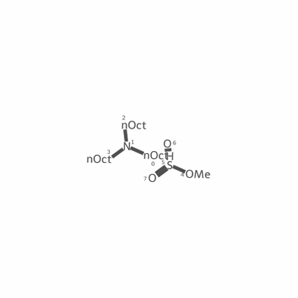 CCCCCCCCN(CCCCCCCC)CCCCCCCC.CO[SH](=O)=O